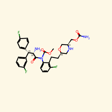 COC(=O)N(C(=O)[C@@H](N)[C@@H](c1ccc(F)cc1)c1cccc(F)c1)c1cccc(F)c1CC[C@@H]1CN[C@H](COC(N)=O)CO1